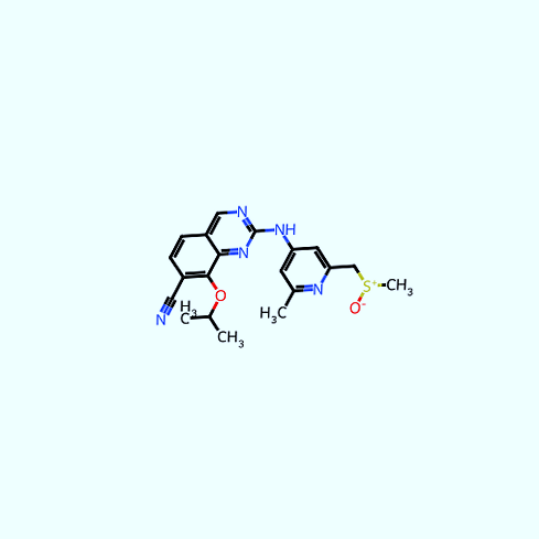 Cc1cc(Nc2ncc3ccc(C#N)c(OC(C)C)c3n2)cc(C[S+](C)[O-])n1